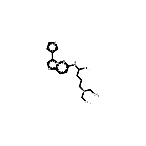 CCN(CC)CCCC(C)Nc1ccc2ncc(-c3ccsc3)n2n1